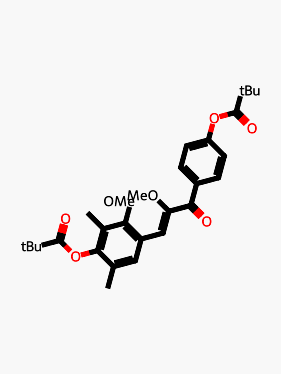 COC(=Cc1cc(C)c(OC(=O)C(C)(C)C)c(C)c1OC)C(=O)c1ccc(OC(=O)C(C)(C)C)cc1